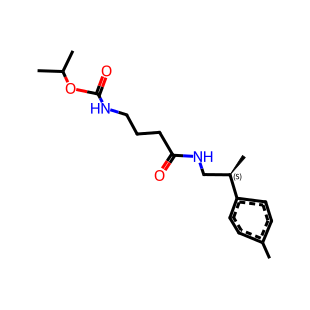 Cc1ccc([C@H](C)CNC(=O)CCCNC(=O)OC(C)C)cc1